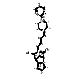 O=C1C2CC(C(=O)N1CCCCN1CCN(c3ncccn3)CC1)C1CC=CC21